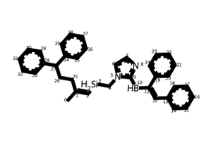 CC(=C[SiH2]Cn1ccnc1BC(=Cc1ccccc1)c1ccccc1)CCC(c1ccccc1)c1ccccc1